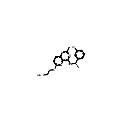 COCCOc1ccc2nc(C)nc(N[C@H](C)c3cccc(Br)c3)c2n1